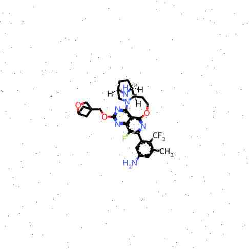 Cc1cc(N)cc(-c2nc3c4c(nc(OCC56COC(C5)C6)nc4c2F)N2C[C@H]4CC[C@H](N4)[C@H]2CCO3)c1C(F)(F)F